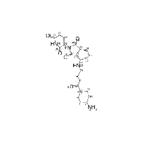 NC1CCN(C(=O)CCCNc2cccc3c2C(=O)N(C2CCC(=O)NC2=O)C3=O)CC1